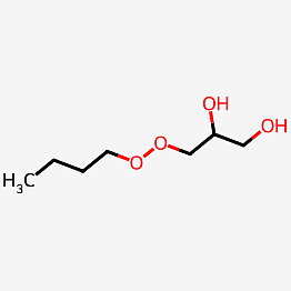 CCCCOOCC(O)CO